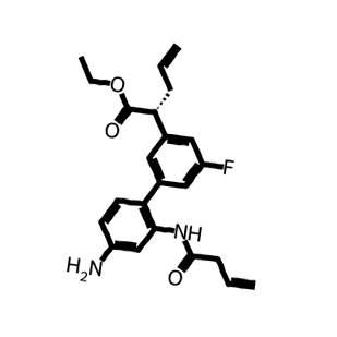 C=CCC(=O)Nc1cc(N)ccc1-c1cc(F)cc([C@@H](CC=C)C(=O)OCC)c1